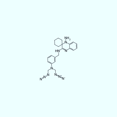 [N-]=[N+]=NCN(CN=[N+]=[N-])c1cccc(CNC2=Nc3ccccc3N(N)C23CCCCC3)c1